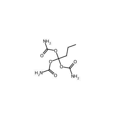 CCCC(OC(N)=O)(OC(N)=O)OC(N)=O